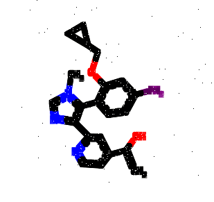 C=C(O)c1ccnc(-c2ncn(C)c2-c2ccc(P)cc2OCC2CC2)c1